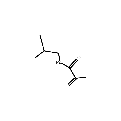 C=C(C)[C](=O)[Po][CH2]C(C)C